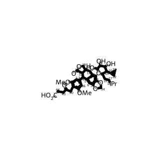 COc1cc(C2c3cc4c(cc3C(OC3OC(CCC(C)C)C(C5CC5)C(O)[C@@H]3O)[C@H]3COC(=O)C23)OCO4)cc(OC)c1CC(=O)CCC(=O)O